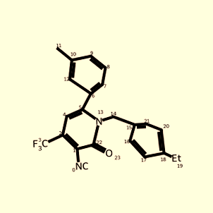 [C-]#[N+]c1c(C(F)(F)F)cc(-c2cccc(C)c2)n(Cc2ccc(CC)cc2)c1=O